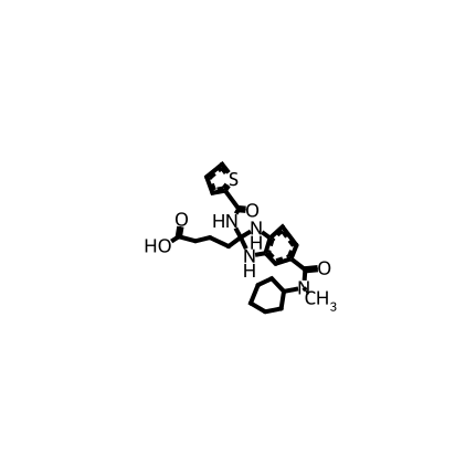 CN(C(=O)c1ccc2c(c1)NC(CCCC(=O)O)(NC(=O)c1cccs1)N2)C1CCCCC1